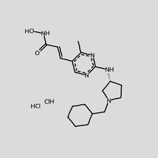 Cc1nc(N[C@@H]2CCN(CC3CCCCC3)C2)ncc1/C=C/C(=O)NO.Cl.Cl